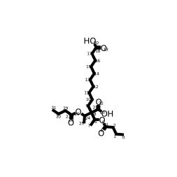 CCCC(=O)OC(C)C(CCCCCCCCCC(=O)O)(C(=O)O)C(C)OC(=O)CCC